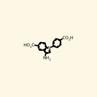 Nc1cn(-c2ccc(C(=O)O)cc2)c2ccc(C(=O)O)cc12